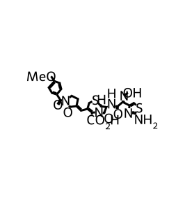 COc1ccc(C(=O)N2CCC(=CC3=C(C(=O)O)N4C(=O)[C@@H](NC(=O)C(=NO)c5csc(N)n5)[C@H]4SC3)C2=O)cc1